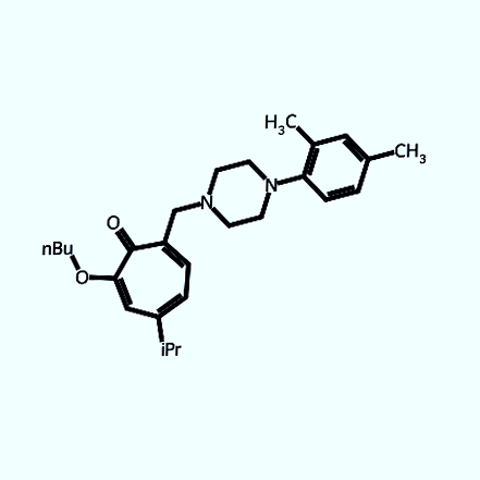 CCCCOc1cc(C(C)C)ccc(CN2CCN(c3ccc(C)cc3C)CC2)c1=O